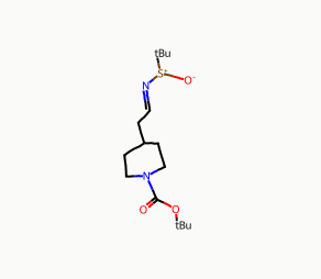 CC(C)(C)OC(=O)N1CCC(CC=N[S+]([O-])C(C)(C)C)CC1